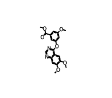 COC(=O)c1cc(OC)cc(Oc2ncnc3cc(OC)c(OC)cc23)c1